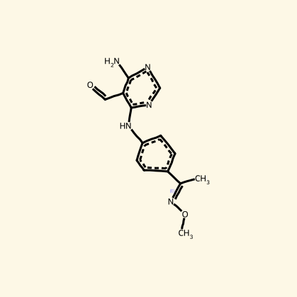 CO/N=C(\C)c1ccc(Nc2ncnc(N)c2C=O)cc1